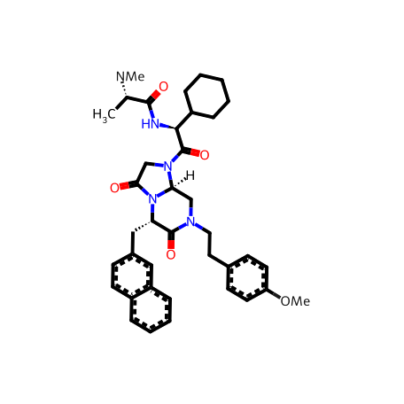 CN[C@@H](C)C(=O)N[C@H](C(=O)N1CC(=O)N2[C@@H]1CN(CCc1ccc(OC)cc1)C(=O)[C@@H]2Cc1ccc2ccccc2c1)C1CCCCC1